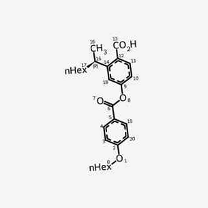 CCCCCCOc1ccc(C(=O)Oc2ccc(C(=O)O)c([C@H](C)CCCCCC)c2)cc1